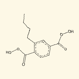 CCCCc1cc(C(=O)OO)ccc1C(=O)OO